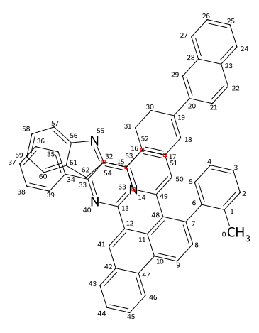 Cc1ccccc1-c1ccc2c(c(-c3nc(C4=CC=C(c5ccc6ccccc6c5)CC4)cc(-c4ccccc4)n3)cc3ccccc32)c1-c1cccc(C2=Nc3ccccc3C2)c1